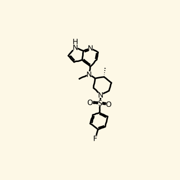 C[C@@H]1CCN(S(=O)(=O)c2ccc(F)cc2)CC1N(C)c1ccnc2[nH]ccc12